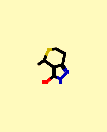 CC1SCCc2n[nH]c(O)c21